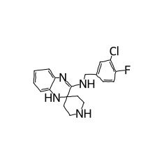 Fc1ccc(CNC2=Nc3ccccc3NC23CCNCC3)cc1Cl